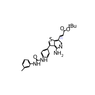 Cc1cccc(NC(=O)Nc2ccc(-c3csc4c(/C=C/C(=O)OC(C)(C)C)cnc(N)c34)cc2)c1